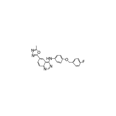 Cc1nnc(-c2ccc3ncnc(Nc4ccc(OCc5ccc(F)cc5)cc4)c3c2)o1